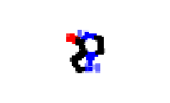 O=C1NC=CN2NCC=C12